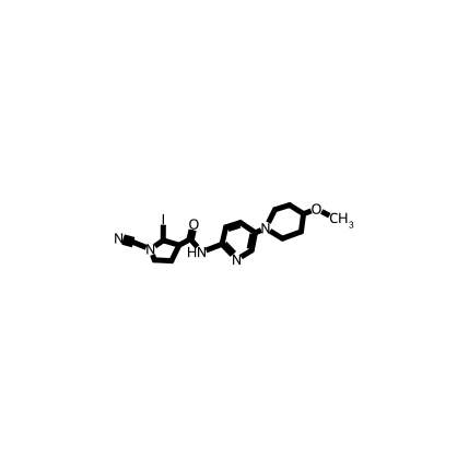 COC1CCN(c2ccc(NC(=O)C3CCN(C#N)C3I)nc2)CC1